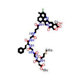 CC[C@@]1(O)C(=O)OCc2c1cc1n(c2=O)Cc2c-1nc1cc(F)c(C)c3c1c2[C@@H](NC(=O)CCCNC(=O)CNC(=O)[C@H](CCc1ccccc1)NC(=O)CNC(=O)CNC(=O)[C@H](CC(=O)OC(C)(C)C)NC(=O)CCSSC)CC3